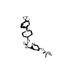 CC(C)(C)[Si](C)(C)Oc1ccc(NC(=O)OC2CCN(c3ccc(C(F)(F)F)cc3)CC2)nc1